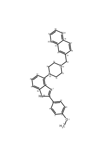 COc1ccc(-c2nc3c(N4CCN(Cc5ccc6nccnc6c5)CC4)cccc3[nH]2)cc1